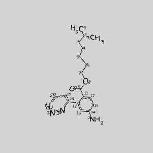 CC(C)CCCCCOC(=O)c1ccc(N)cc1-c1ccnnn1